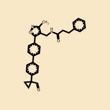 Cc1noc(-c2ccc(-c3ccc(C4(C=O)CC4)cc3)cc2)c1CNC(=O)CCc1ccccc1